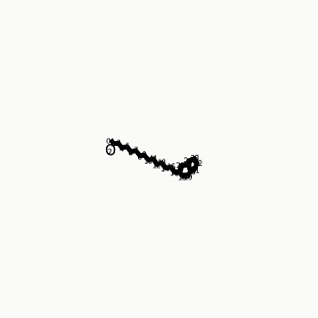 CC(=O)CCCCCCCCCCCCCCc1ccc2ccccc2c1